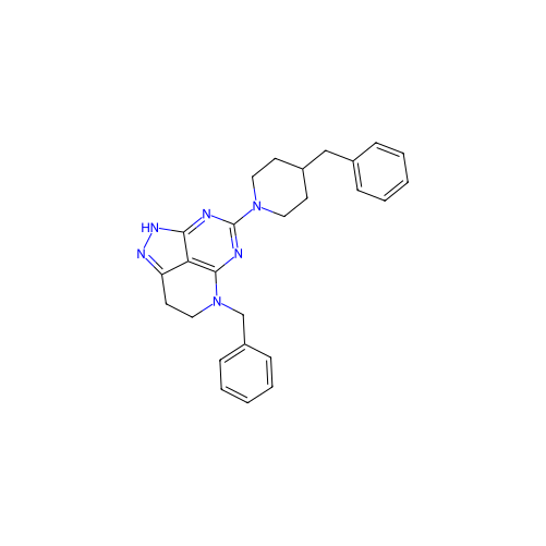 c1ccc(CC2CCN(c3nc4c5c(n[nH]c5n3)CCN4Cc3ccccc3)CC2)cc1